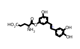 N[C@@H](CCC(=O)O)C(=O)Oc1cc(O)cc(/C=C/c2ccc(O)c(O)c2)c1